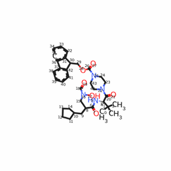 CC(C)(C)[C@H](NC(=O)C(CC1CCCC1)CN(O)C=O)C(=O)N1CCN(C(=O)OCC2c3ccccc3-c3ccccc32)CC1